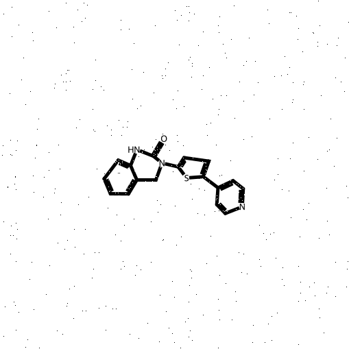 O=C1Nc2ccccc2CN1c1ccc(-c2ccncc2)s1